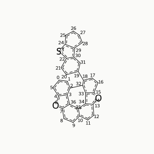 c1cc2c3c(c1)oc1ccc4ccc5oc6ccc(-c7ccc8sc9ccccc9c8c7)c-2c6c5c4c13